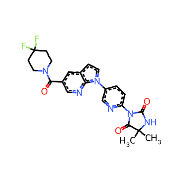 CC1(C)NC(=O)N(c2ccc(-n3ccc4cc(C(=O)N5CCC(F)(F)CC5)cnc43)cn2)C1=O